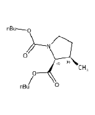 CCCCOC(=O)[C@@H]1[C@H](C)CCN1C(=O)OCCCC